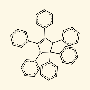 c1ccc(C2=C(c3ccccc3)N(c3ccccc3)C(c3ccccc3)(c3ccccc3)C2c2ccccc2)cc1